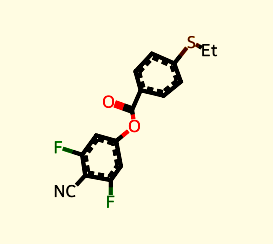 CCSc1ccc(C(=O)Oc2cc(F)c(C#N)c(F)c2)cc1